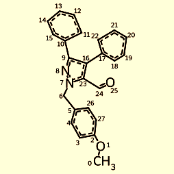 COc1ccc(Cn2nc(-c3ccccc3)c(-c3ccccc3)c2C=O)cc1